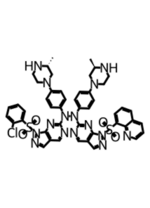 C[C@@H]1CN(c2ccc(N(c3ncc4cnn(S(=O)(=O)c5ccccc5Cl)c4n3)N(c3ccc(N4CCN[C@H](C)C4)cc3)c3ncc4cnn(S(=O)(=O)c5cccc6cccnc56)c4n3)cc2)CCN1